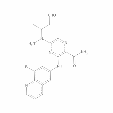 C[C@H](CC=O)N(N)c1cnc(C(N)=O)c(Nc2cc(F)c3ncccc3c2)n1